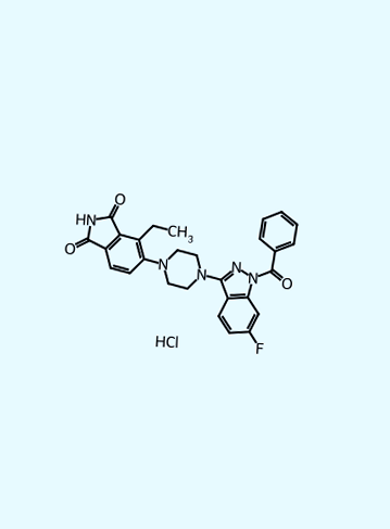 CCc1c(N2CCN(c3nn(C(=O)c4ccccc4)c4cc(F)ccc34)CC2)ccc2c1C(=O)NC2=O.Cl